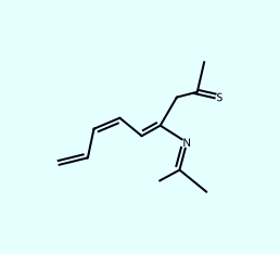 C=C/C=C\C=C(/CC(C)=S)N=C(C)C